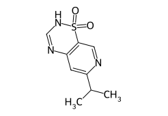 CC(C)c1cc2c(cn1)S(=O)(=O)NC=N2